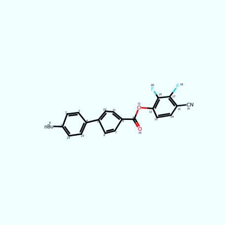 CCCCc1ccc(-c2ccc(C(=O)Oc3ccc(C#N)c(F)c3F)cc2)cc1